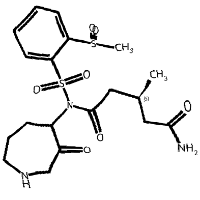 C[C@@H](CC(N)=O)CC(=O)N(C1CCCNCC1=O)S(=O)(=O)c1ccccc1S(C)(=O)=O